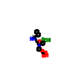 C[C@@H](NCCC1CN(c2cccc(OCC(=O)O)c2)c2cccc(F)c2O1)c1cccc2ccccc12.Cl